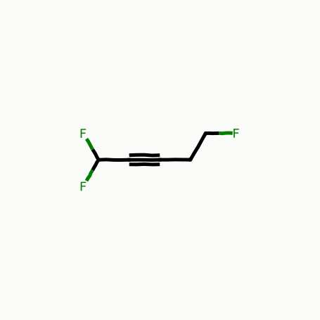 FCCC#CC(F)F